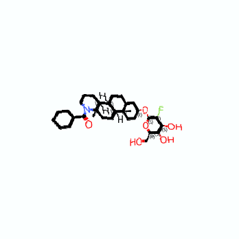 C[C@]12CC[C@@H](O[C@H]3O[C@H](CO)[C@@H](O)[C@H](O)[C@H]3F)CC1CC[C@H]1[C@@H]2CC[C@@]2(C)[C@H]1CCCN2C(=O)C1CCCCC1